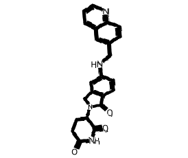 O=C1CCC(N2Cc3cc(NCc4ccc5ncccc5c4)ccc3C2=O)C(=O)N1